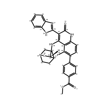 COC(=O)c1ccc(-c2ccc3[nH]c(=O)c(-c4nc5ccccc5[nH]4)c(N[C@H]4CN5CCC4CC5)c3c2F)cc1